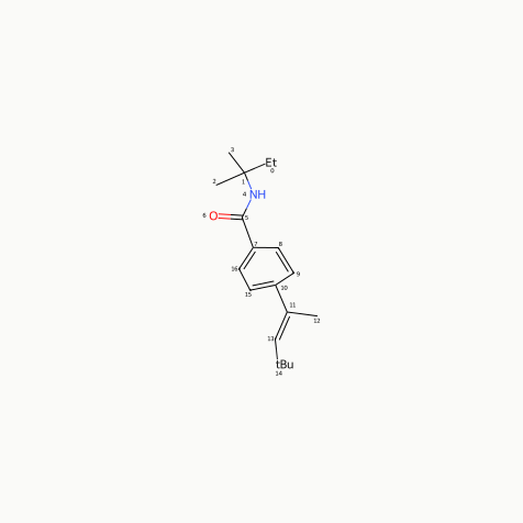 CCC(C)(C)NC(=O)c1ccc(/C(C)=C/C(C)(C)C)cc1